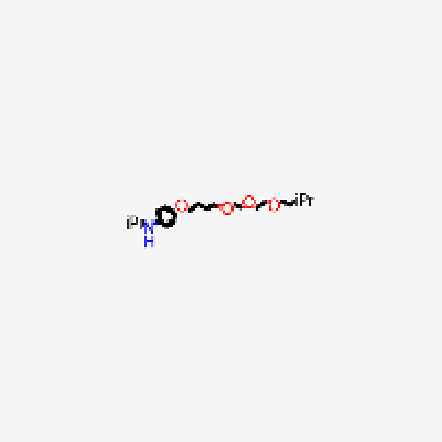 CC(C)CCOCCOCCOCCCCOc1ccc(NC(C)C)cc1